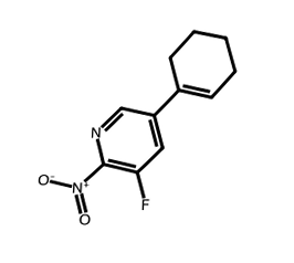 O=[N+]([O-])c1ncc(C2=CCCCC2)cc1F